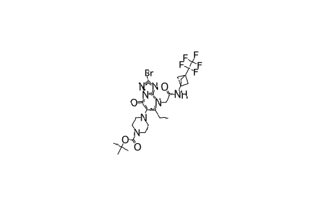 CCc1c(N2CCN(C(=O)OC(C)(C)C)CC2)c(=O)n2nc(Br)nc2n1CC(=O)NC12CC(C(F)(F)C(F)(F)F)(C1)C2